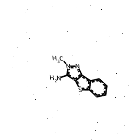 Cn1nc2c(sc3ccccc32)c1N